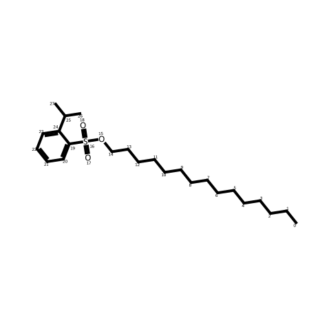 CCCCCCCCCCCCCCCOS(=O)(=O)c1ccccc1C(C)C